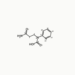 NC(=O)CCN(C(=O)O)c1ccccn1